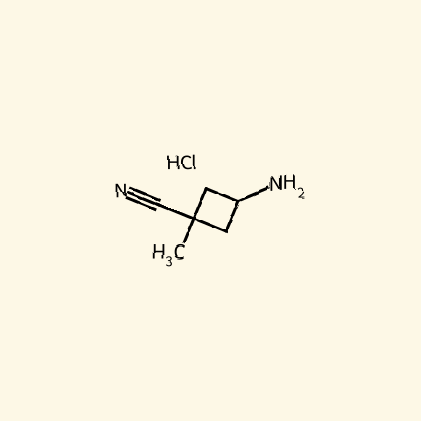 CC1(C#N)CC(N)C1.Cl